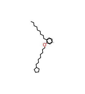 CCCCCCCCCc1cc[c]cc1OCCCCCCCCC1CCCC1